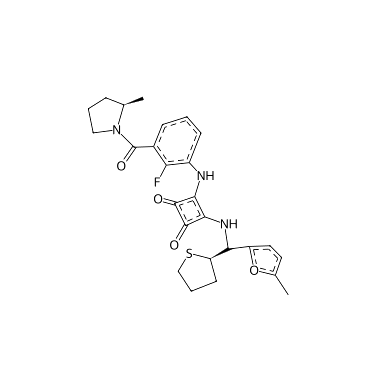 Cc1ccc(C(Nc2c(Nc3cccc(C(=O)N4CCC[C@H]4C)c3F)c(=O)c2=O)[C@H]2CCCS2)o1